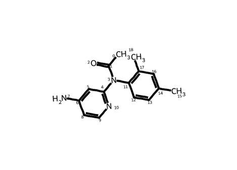 CC(=O)N(c1cc(N)ccn1)c1ccc(C)cc1C